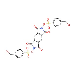 O=c1c2cc3c(=O)n(OS(=O)(=O)c4ccc(CBr)cc4)c(=O)c3cc2c(=O)n1OS(=O)(=O)c1ccc(CBr)cc1